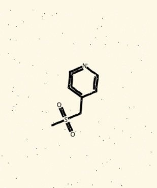 CS(=O)(=O)CC1=C=C=NC=C1